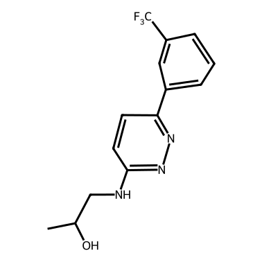 CC(O)CNc1ccc(-c2cccc(C(F)(F)F)c2)nn1